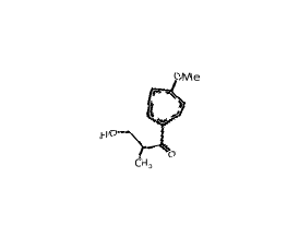 COc1ccc(C(=O)C(C)CO)cc1